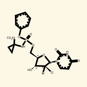 CCOC(=O)C1(NP(=O)(OC[C@H]2O[C@@H](n3ccc(=O)[nH]c3=O)[C@](Cl)(Br)[C@@H]2O)Oc2ccccc2)CC1